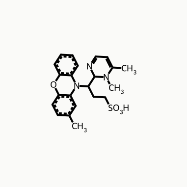 CC1=CC=NC(C(CCS(=O)(=O)O)N2c3ccccc3Oc3ccc(C)cc32)N1C